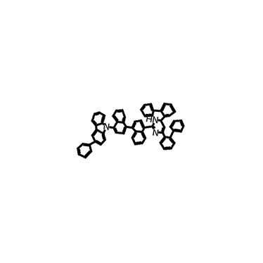 C1=C(c2ccccc2-c2ccccc2)N=C(c2ccc(-c3ccc(-n4c5ccccc5c5cc(-c6ccccc6)ccc54)c4ccccc34)c3ccccc23)NC1c1ccccc1-c1ccccc1